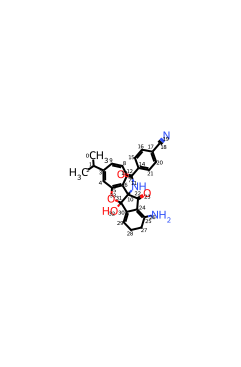 CC(C)C1=CC2=C(CC=C1)C1(NC(=O)c3ccc(C#N)cc3)C(=O)C3=C(N)CCC=C3C1(O)O2